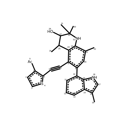 CC(=O)c1ccsc1C#Cc1c(-c2cccc3c(C)c[nH]c23)cc(C)c2c1C(C)C(O)C(C)(C)N2